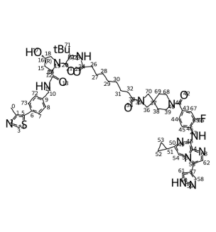 Cc1ncsc1-c1ccc(CNC(=O)[C@@H]2C[C@@H](O)CN2C(=O)[C@@H](NC(=O)CCCCCCCC(=O)N2CC3(CCN(C(=O)c4ccc(Nc5nc(C6CC6)cn6c(-c7cn[nH]c7)cnc56)c(F)c4)CC3)C2)C(C)(C)C)cc1